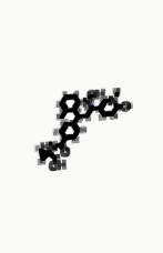 Cc1ccccc1C(C/C(=N/O)c1ccc(=O)n(C)c1)c1ccc(C(=O)NC2(CO)CC2)cc1